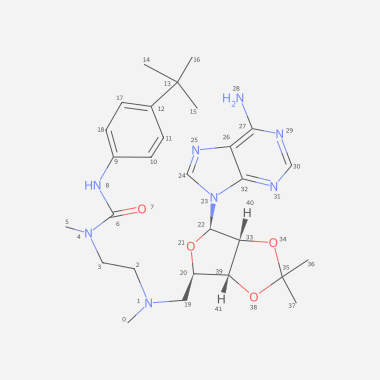 CN(CCN(C)C(=O)Nc1ccc(C(C)(C)C)cc1)C[C@H]1O[C@@H](n2cnc3c(N)ncnc32)[C@@H]2OC(C)(C)O[C@@H]21